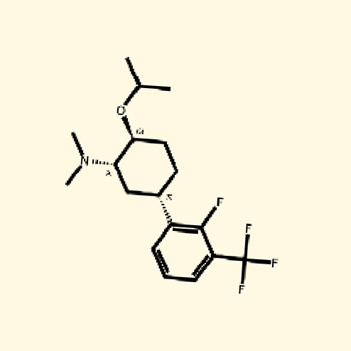 CC(C)O[C@H]1CC[C@H](c2cccc(C(F)(F)F)c2F)C[C@@H]1N(C)C